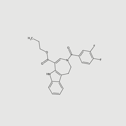 CCCOC(=O)C1=CN(C(=O)c2ccc(F)c(F)c2)CCc2c1[nH]c1ccccc21